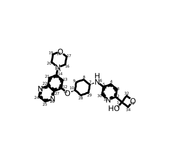 OC1(c2ccc(N[C@H]3CC[C@@H](Oc4cc(N5CCOCC5)cc5nccnc45)CC3)cn2)COC1